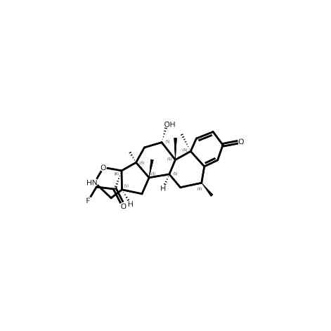 C[C@H]1C[C@@H]2[C@](C)([C@@H](O)C[C@@]3(C)[C@@]2(C)C[C@H]2CNO[C@]23C(=O)CF)[C@@]2(C)C=CC(=O)C=C12